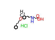 Cc1cc(/C=C/CNCCC(=O)O)ccc1OCCCCc1ccccc1.Cl